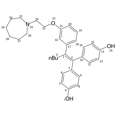 CCCCC(=C(c1ccc(O)cc1)c1ccc(O)cc1)c1cccc(OCCN2CCCCCC2)c1